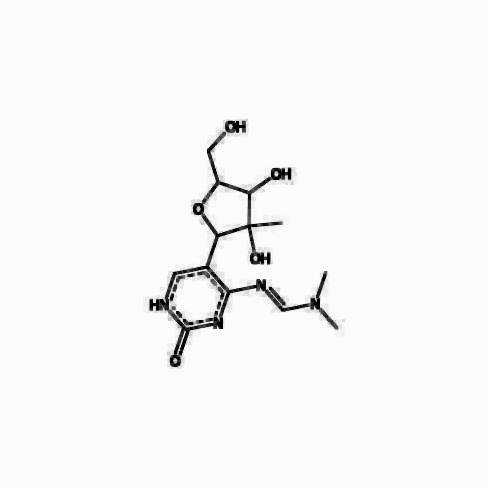 CN(C)C=Nc1nc(=O)[nH]cc1C1OC(CO)C(O)C1(C)O